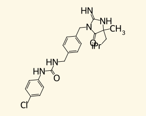 CC(C)CC1(C)NC(=N)N(Cc2ccc(CNC(=O)Nc3ccc(Cl)cc3)cc2)C1=O